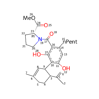 C=C(C)C1CCC(C)=CC1c1c(O)cc(CCCCC)c(C(=O)N2CCC[C@@H]2C(=O)OC)c1O